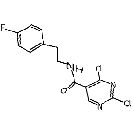 O=C(NCCc1ccc(F)cc1)c1cnc(Cl)nc1Cl